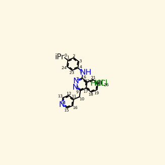 CC(C)c1ccc(Nc2nnc(Cc3ccncc3)c3ccccc23)cc1.Cl.Cl